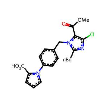 CCCCc1nc(Cl)c(C(=O)OC)n1Cc1ccc(-n2cccc2C(=O)O)cc1